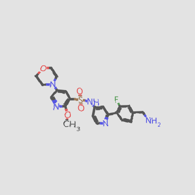 COc1ncc(N2CCOCC2)cc1S(=O)(=O)Nc1ccnc(-c2ccc(CN)cc2F)c1